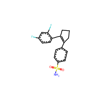 NS(=O)(=O)c1ccc(C2=C(c3ccc(F)cc3F)CCC2)cc1